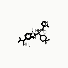 CC(C)C(N)c1ccc2[nH]c(C(NC(=O)c3ccnn3C)C3CCC(F)(F)CC3)nc2c1